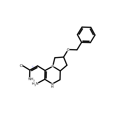 NC1=C(/C=C(\N)Cl)N2CC(OCc3ccccc3)CC2CN1